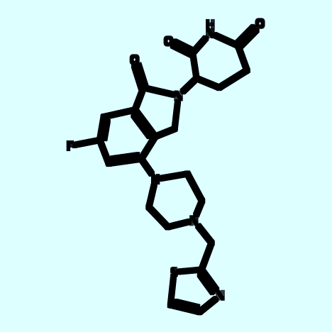 O=C1CCC(N2Cc3c(cc(F)cc3N3CCN(Cc4nccs4)CC3)C2=O)C(=O)N1